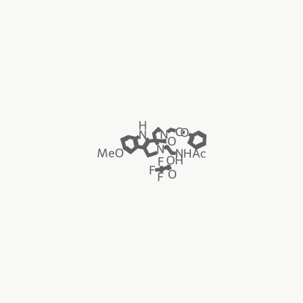 COc1ccc2[nH]c3c(c2c1)CCN(C(=O)CNC(C)=O)C31CCN(CCOc2ccccc2)C1.O=C(O)C(F)(F)F